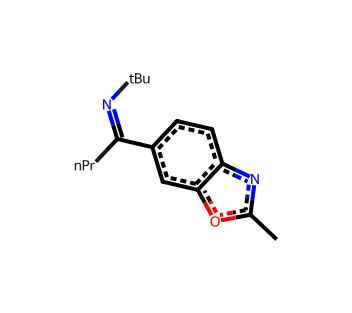 CCC/C(=N/C(C)(C)C)c1ccc2nc(C)oc2c1